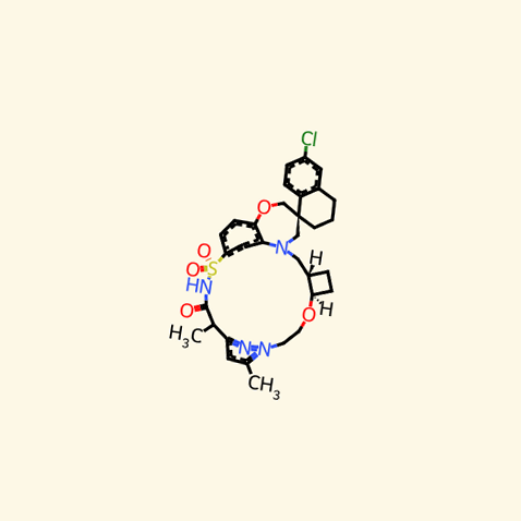 Cc1cc2nn1CCO[C@@H]1CC[C@H]1CN1C[C@@]3(CCCc4cc(Cl)ccc43)COc3ccc(cc31)S(=O)(=O)NC(=O)C2C